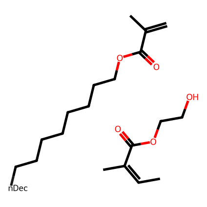 C=C(C)C(=O)OCCCCCCCCCCCCCCCCCC.CC=C(C)C(=O)OCCO